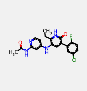 CCc1[nH]c(=O)c(-c2cc(Cl)ccc2F)cc1Nc1ccnc(NC(C)=O)c1